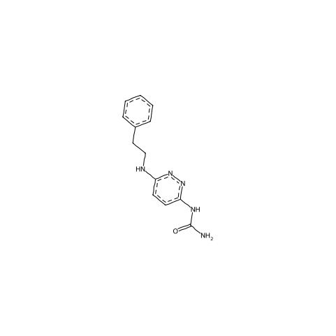 NC(=O)Nc1ccc(NCCc2ccccc2)nn1